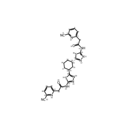 N#Cc1cccc(CC(=O)Nc2nnc([C@H]3CCC[C@H](c4nnc(NC(=O)Cc5cccc(C#N)n5)s4)C3)s2)n1